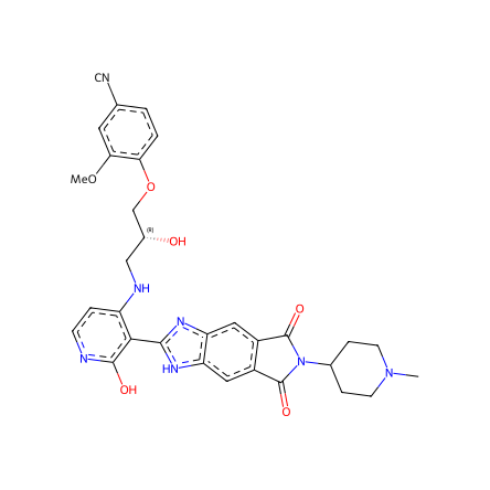 [C-]#[N+]c1ccc(OC[C@H](O)CNc2ccnc(O)c2-c2nc3cc4c(cc3[nH]2)C(=O)N(C2CCN(C)CC2)C4=O)c(OC)c1